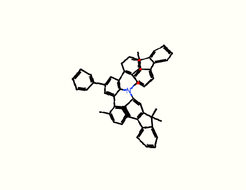 CC1=C(c2cc(-c3ccccc3)cc(-c3ccccc3C)c2N(c2c#cc3c(c2)C(C)(C)c2ccccc2-3)c2ccc3c(c2)C(C)(C)c2ccccc2-3)CCC=C1